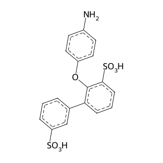 Nc1ccc(Oc2c(-c3cccc(S(=O)(=O)O)c3)cccc2S(=O)(=O)O)cc1